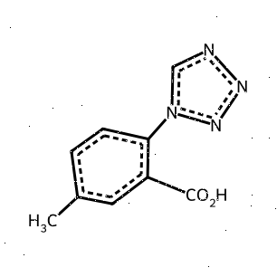 Cc1ccc(-n2cnnn2)c(C(=O)O)c1